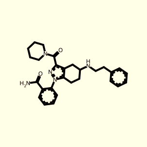 NC(=O)c1ccccc1-n1nc(C(=O)N2CCCCC2)c2c1CCC(NCCc1ccccc1)C2